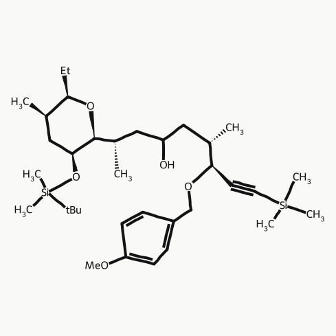 CC[C@H]1O[C@@H]([C@@H](C)CC(O)C[C@H](C)[C@@H](C#C[Si](C)(C)C)OCc2ccc(OC)cc2)[C@@H](O[Si](C)(C)C(C)(C)C)C[C@H]1C